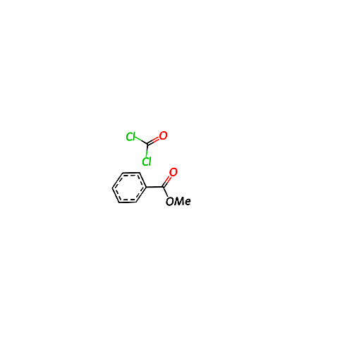 COC(=O)c1ccccc1.O=C(Cl)Cl